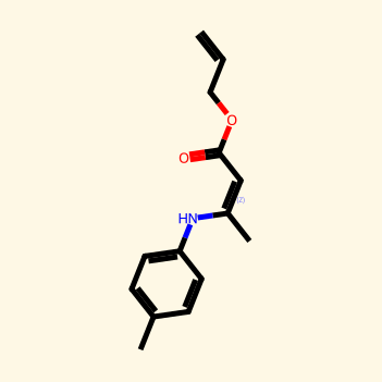 C=CCOC(=O)/C=C(/C)Nc1ccc(C)cc1